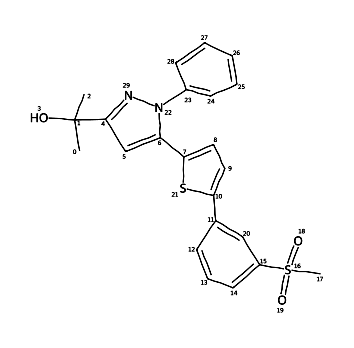 CC(C)(O)c1cc(-c2ccc(-c3cccc(S(C)(=O)=O)c3)s2)n(-c2ccccc2)n1